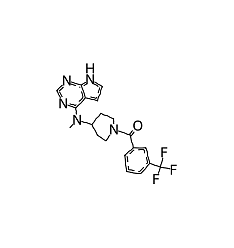 CN(c1ncnc2[nH]ccc12)C1CCN(C(=O)c2cccc(C(F)(F)F)c2)CC1